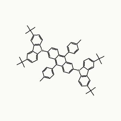 Cc1ccc(-c2c3ccc(-n4c5ccc(C(C)(C)C)cc5c5cc(C(C)(C)C)ccc54)cc3c(-c3ccc(C)cc3)c3ccc(-n4c5ccc(C(C)(C)C)cc5c5cc(C(C)(C)C)ccc54)cc23)cc1